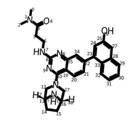 CN(C)C(=O)CCNc1nc(N2C[C@H]3CC[C@@H](C2)N3)c2ccc(-c3cc(O)cc4ccccc34)cc2n1